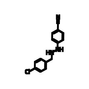 N#Cc1ccc(NNCc2ccc(Cl)cc2)cc1